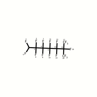 FC(F)C(F)(F)C(F)(F)C(F)(F)C(F)(F)C(F)(C(F)(F)F)C(F)(F)F